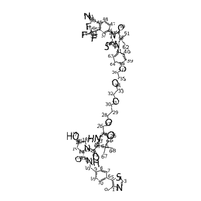 Cc1ncsc1-c1ccc(CNC(=O)[C@@H]2C[C@@H](O)CN2C(=O)[C@@H](NC(=O)COCCCOCCOCCOc2ccc(N3C(=S)N(c4ccc(C#N)c(C(F)(F)F)c4)C(=O)C3(C)C)cc2)C(C)(C)C)cc1